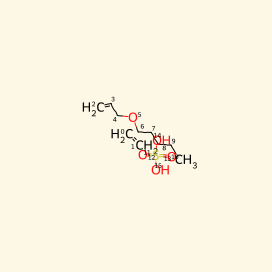 C=C.C=CCOCCCCC.O=S(=O)(O)O